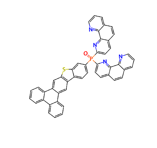 O=P(c1ccc2c(c1)sc1cc3c4ccccc4c4ccccc4c3cc12)(c1ccc2ccc3cccnc3c2n1)c1ccc2ccc3cccnc3c2n1